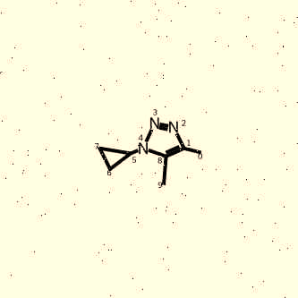 Cc1nnn(C2CC2)c1C